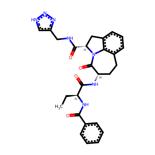 CC[C@H](NC(=O)c1ccccc1)C(=O)N[C@H]1CCc2cccc3c2N(C1=O)[C@H](C(=O)NCc1c[nH]nn1)C3